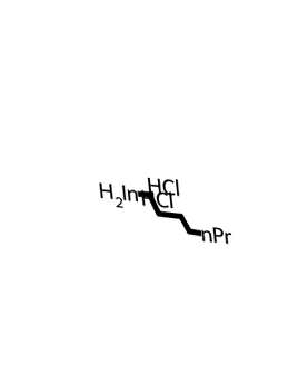 CCCCCC[CH2][InH2].Cl.Cl